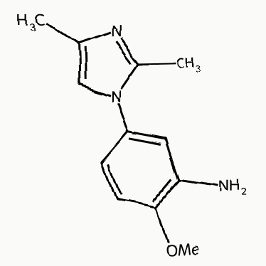 COc1ccc(-n2cc(C)nc2C)cc1N